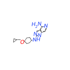 Nc1nccc2nc(NC3CCC(OCC4CC4)CC3)ncc12